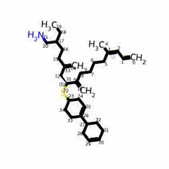 C=C/C=C(/C)CCCCC(=C)[C@H](CC(=C)CCC(CC)CN)SC1CC=C(C2CC=CCC2)CC1